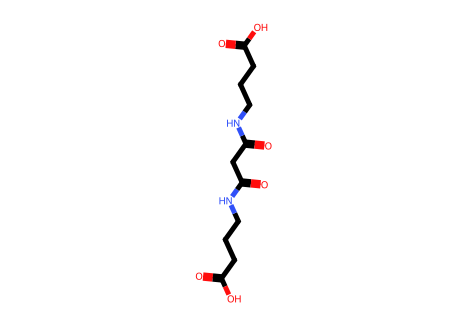 O=C(O)CCCNC(=O)CC(=O)NCCCC(=O)O